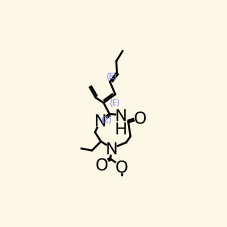 C=CC(=C\C=C\CC)/C1=N/CC(CC)N(C(=O)OC)CCC(=O)N1